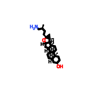 C[C@H](CN)CC[C@@]12C[C@@]1(C)[C@H]1[C@H](C[C@H]3[C@@H]4CC[C@H]5C[C@@H](O)CC[C@]5(C)[C@H]4CC[C@@]31C)O2